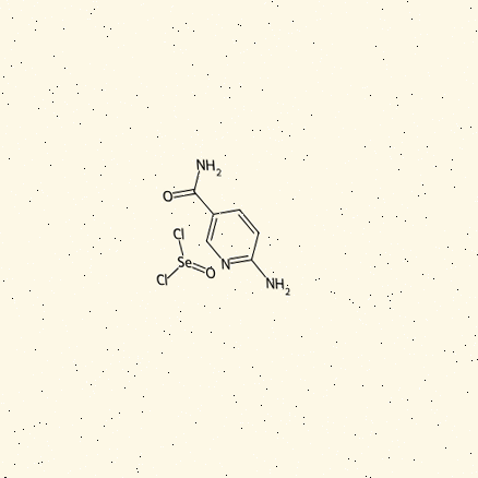 NC(=O)c1ccc(N)nc1.O=[Se](Cl)Cl